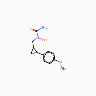 CCCCOc1ccc(C2CC2CN(O)C(N)=O)cc1